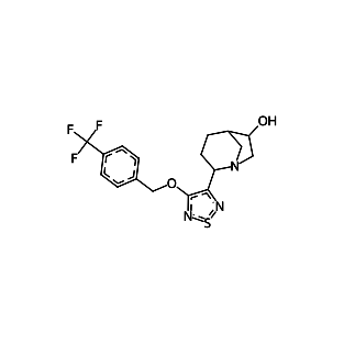 OC1CN2CC1CCC2c1nsnc1OCc1ccc(C(F)(F)F)cc1